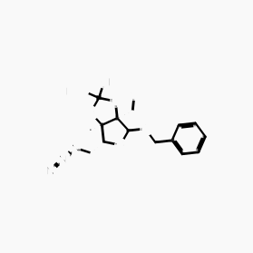 CC1(C)O[C@@H]2[C@@H](CN=[N+]=[N-])OC(OCc3ccccc3)[C@]2(CO)O1